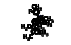 C=C(c1ccc(/C(=N\C(C)(C)C)c2ccc(C)c(F)c2)c(C)n1)N(CCC)C(C)(C)CC